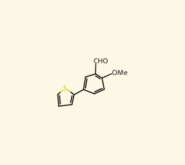 COc1ccc(-c2cccs2)cc1C=O